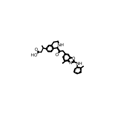 Cc1ccccc1Nc1nc2c(C)cc(CC(=O)C3NCCc4cc(C(C)CC(=O)O)ccc43)cc2o1